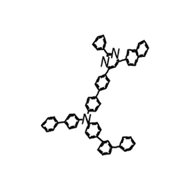 c1ccc(-c2ccc(N(c3ccc(-c4ccc(-c5cc(-c6ccc7ccccc7c6)nc(-c6ccccc6)n5)cc4)cc3)c3ccc(-c4cccc(-c5ccccc5)c4)cc3)cc2)cc1